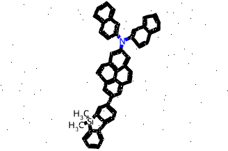 C[Si]1(C)c2ccccc2-c2ccc(-c3cc4ccc5cc(N(c6ccc7ccccc7c6)c6ccc7ccccc7c6)cc6ccc(c3)c4c56)cc21